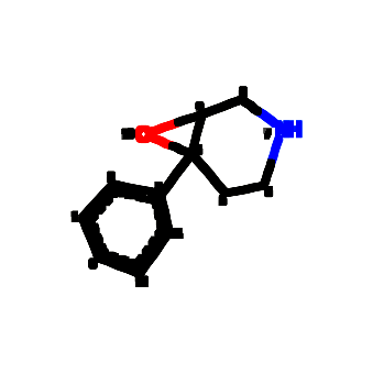 c1ccc(C23CCNCC2O3)cc1